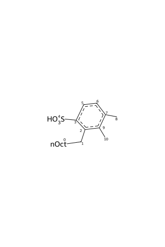 CCCCCCCCCc1c(S(=O)(=O)O)ccc(C)c1C